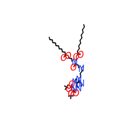 CCCCCCCCCCCC(=O)OCCCN(COC(=O)CCCCCCCCCCC)C(=O)CCN(C)CCCn1cnc2c(N(C(=O)OC(C)(C)C)C(=O)OC(C)(C)C)ncnc21